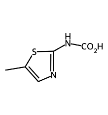 Cc1cnc(NC(=O)O)s1